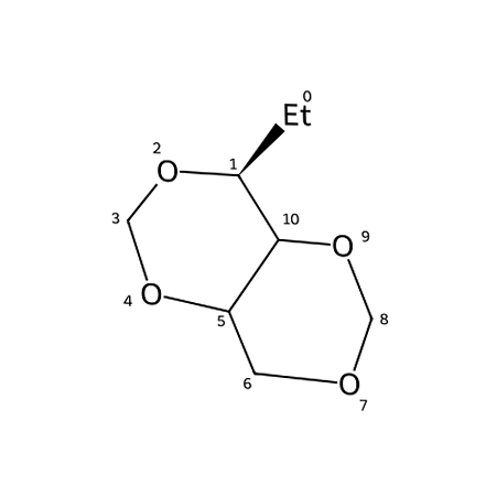 CC[C@@H]1OCOC2COCOC21